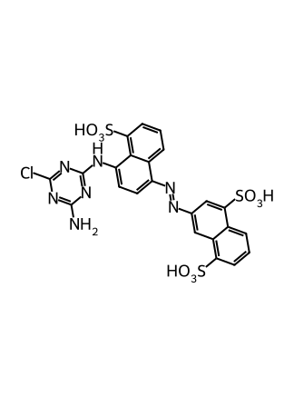 Nc1nc(Cl)nc(Nc2ccc(N=Nc3cc(S(=O)(=O)O)c4cccc(S(=O)(=O)O)c4c3)c3cccc(S(=O)(=O)O)c23)n1